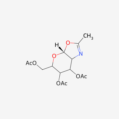 CC(=O)OCC1O[C@@H]2OC(C)=NC2C(OC(C)=O)C1OC(C)=O